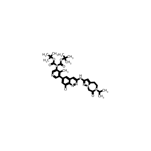 Cc1c(-c2cc(Cl)c3nnc(Nc4cc5n(n4)CC(=O)N(C(C)C)CC5)cc3c2)cncc1N(C(=O)OC(C)(C)C)C(=O)OC(C)(C)C